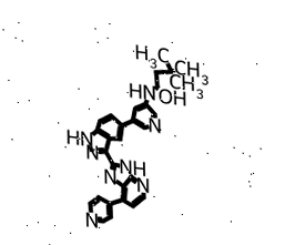 CC(C)(C)CC(O)Nc1cncc(-c2ccc3[nH]nc(-c4nc5c(-c6ccncc6)ccnc5[nH]4)c3c2)c1